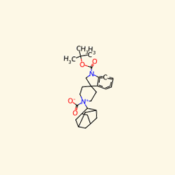 CC(C)(C)OC(=O)N1CC2(CC[N+](C(=O)[O-])(C3C4CC5CC(C4)CC3C5)CC2)c2ccccc21